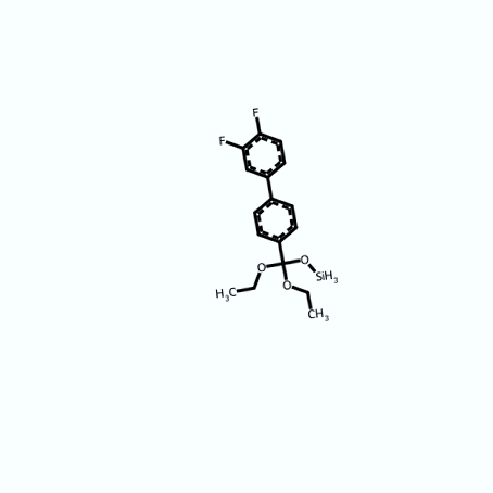 CCOC(O[SiH3])(OCC)c1ccc(-c2ccc(F)c(F)c2)cc1